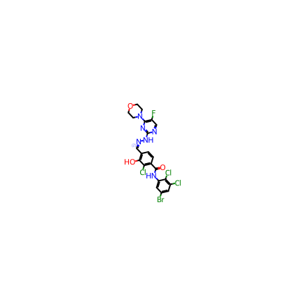 O=C(Nc1cc(Br)cc(Cl)c1Cl)c1ccc(/C=N\Nc2ncc(F)c(N3CCOCC3)n2)c(O)c1Cl